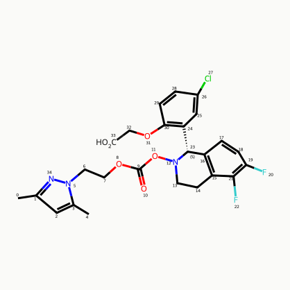 Cc1cc(C)n(CCOC(=O)ON2CCc3c(ccc(F)c3F)[C@H]2c2cc(Cl)ccc2OCC(=O)O)n1